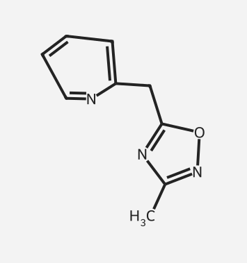 Cc1noc(Cc2ccccn2)n1